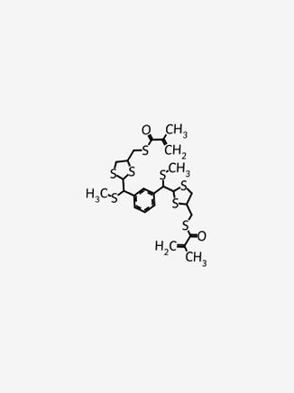 C=C(C)C(=O)SCC1CSC(C(SC)c2cccc(C(SC)C3SCC(CSC(=O)C(=C)C)S3)c2)S1